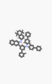 Cc1ccccc1-c1cc2c3c(c1)-n1c4ccc(-c5ccccc5)cc4c4cc(-c5ccccc5)cc(c41)B3N(c1ccc3c(c1)C(C)(C)CCC3(C)C)c1cc3ccccc3cc1-2